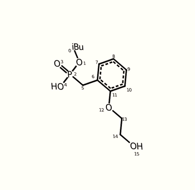 CCC(C)OP(=O)(O)Cc1ccccc1OCCO